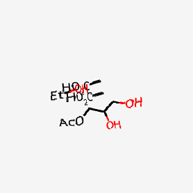 CC(=O)O.CC(=O)O.CC(=O)OCC(O)CO.CCO